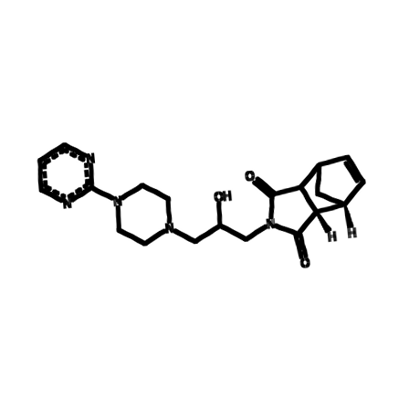 O=C1C2C3C=C[C@@H](C3)[C@@H]2C(=O)N1CC(O)CN1CCN(c2ncccn2)CC1